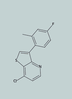 Cc1cc(F)ccc1-c1csc2c(Cl)ccnc12